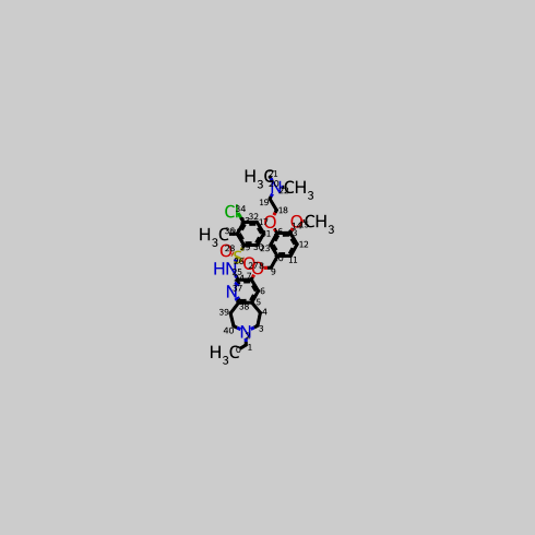 CCN1CCc2cc(OCc3ccc(OC)c(OCCN(C)C)c3)c(NS(=O)(=O)c3cccc(Cl)c3C)nc2CC1